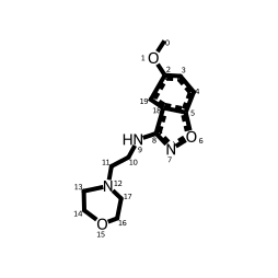 COc1ccc2onc(NCCN3CCOCC3)c2c1